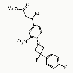 CCC(CC(=O)OC)c1ccc(N2CC(F)(c3ccc(F)cc3)C2)c([N+](=O)[O-])c1